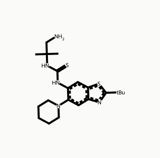 CC(C)(CN)NC(=S)Nc1cc2sc(C(C)(C)C)nc2cc1N1CCCCC1